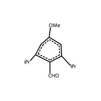 COc1cc(C(C)C)c(C=O)c(C(C)C)c1